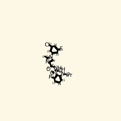 Cc1nc(C(=O)NS(=O)(=O)c2c(F)cccc2NC(C)C)cn1-c1cc(F)cc(Cl)c1